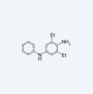 CCc1cc(Nc2ccccc2)cc(CC)c1N